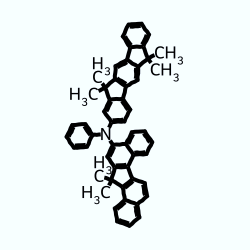 CC1(C)c2ccccc2-c2cc3c(cc21)-c1ccc(N(c2ccccc2)c2cc4c(c5ccccc25)-c2ccc5ccccc5c2C4(C)C)cc1C3(C)C